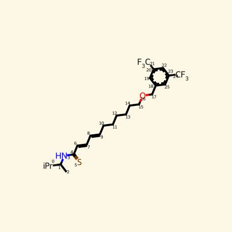 CC(C)C(C)NC(=S)/C=C/C=C/CCCCCCOCc1cc(C(F)(F)F)cc(C(F)(F)F)c1